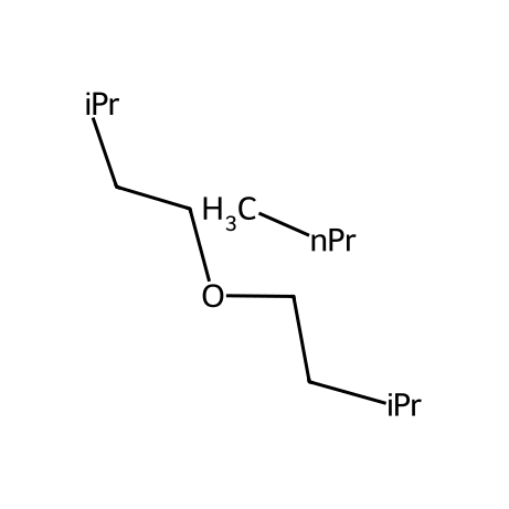 CC(C)CCOCCC(C)C.CCCC